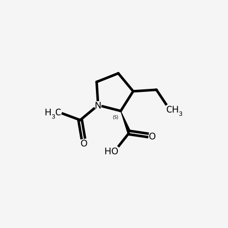 CCC1CCN(C(C)=O)[C@@H]1C(=O)O